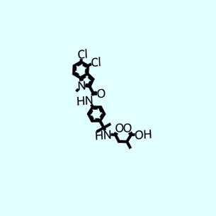 CC(CC(=O)NC(C)(C)c1ccc(NC(=O)c2cc3c(Cl)c(Cl)ccc3n2C)cc1)C(=O)O